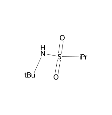 CC(C)S(=O)(=O)NC(C)(C)C